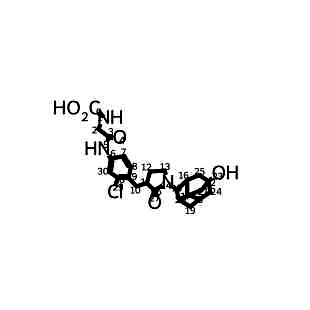 O=C(O)NCC(=O)Nc1ccc(CC2CCN(C3C4CC5CC3CC(O)(C5)C4)C2=O)c(Cl)c1